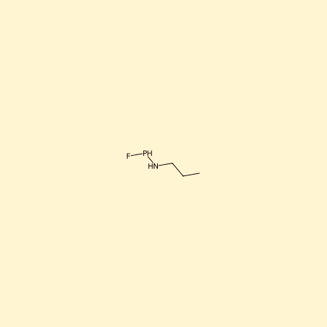 CCCNPF